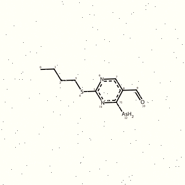 CCCCSc1ncc(C=O)c([AsH2])n1